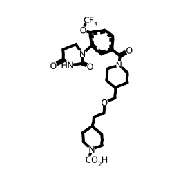 O=C1CCN(c2cc(C(=O)N3CCC(COCCC4CCN(C(=O)O)CC4)CC3)ccc2OC(F)(F)F)C(=O)N1